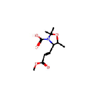 COC(=O)C=CC1C(C)OC(C)(C)N1C(=O)O